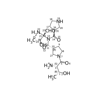 C[C@@H](O)[C@H](N)C(=O)N1CC[C@@H](C(=O)N(C(=O)[C@H]2CCNC2)[C@](N)(C=O)[C@@H](C)O)C1